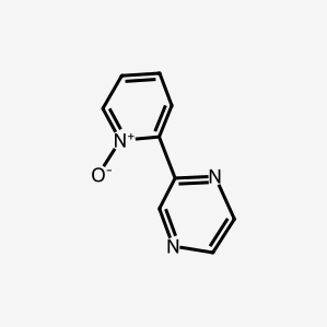 [O-][n+]1ccccc1-c1cnccn1